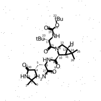 CC1(C)C[C@@H](C[C@H](NC(=O)[C@@H]2C3[C@H](CN2C(=O)[C@@H](NC(=O)OC(C)(C)C)C(C)(C)C)C3(C)C)C(N)=O)C(=O)N1